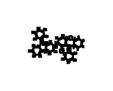 O=P12c3ccccc3Oc3ccc(-c4ccc5c6ccccc6n(-c6ccccc6)c5c4)c(c31)Oc1ccccc12